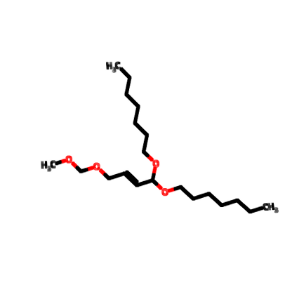 CCCCCCCOC(C=CCOCOC)OCCCCCCC